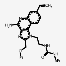 C=Cc1ccc2c(c1)nc(N)c1nc(COCC)n(CCNC(=O)NCCC)c12